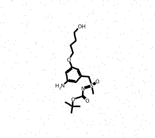 CC(C)(C)OC(=O)N=S(C)(=O)Cc1cc(N)cc(OCCCCO)c1